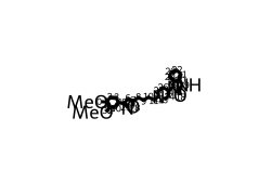 COc1ccc(-c2cc(CCCCN3CCC(n4c(=O)[nH]c5ccccc54)CC3)on2)cc1OC